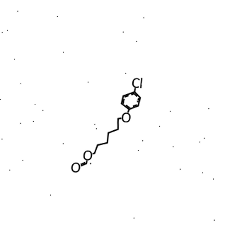 O=[C]OCCCCCCOc1ccc(Cl)cc1